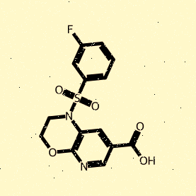 O=C(O)c1cnc2c(c1)N(S(=O)(=O)c1cccc(F)c1)CCO2